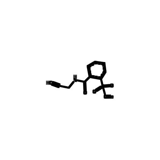 C#CCNC(=O)c1ccccc1S(=O)(=O)OC